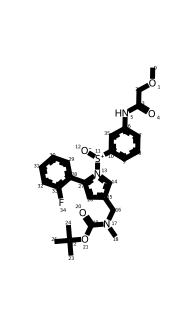 COCC(=O)Nc1cccc([S+]([O-])n2cc(CN(C)C(=O)OC(C)(C)C)cc2-c2ccccc2F)c1